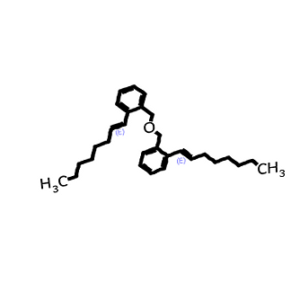 CCCCCC/C=C/c1ccccc1COCc1ccccc1/C=C/CCCCCC